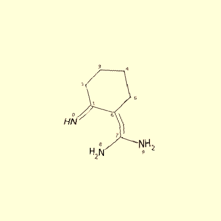 N=C1CCCCC1=C(N)N